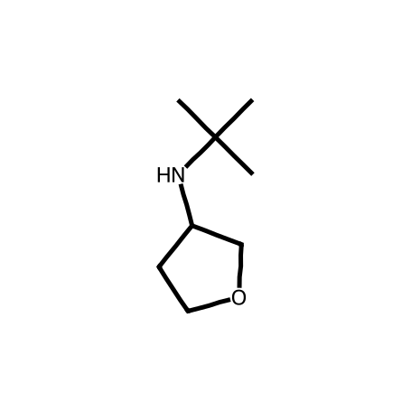 CC(C)(C)NC1CCOC1